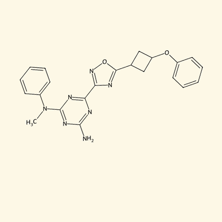 CN(c1ccccc1)c1nc(N)nc(-c2noc(C3CC(Oc4ccccc4)C3)n2)n1